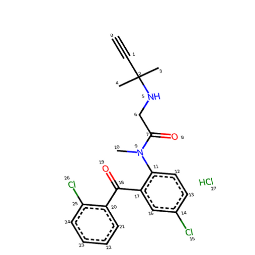 C#CC(C)(C)NCC(=O)N(C)c1ccc(Cl)cc1C(=O)c1ccccc1Cl.Cl